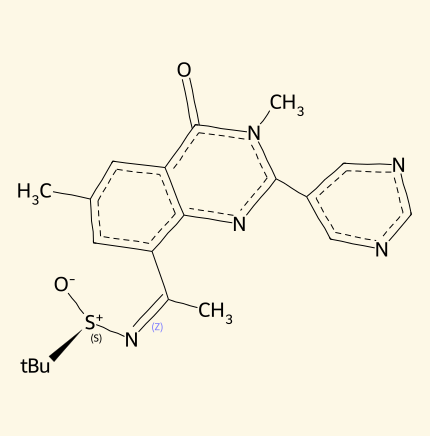 C/C(=N/[S@+]([O-])C(C)(C)C)c1cc(C)cc2c(=O)n(C)c(-c3cncnc3)nc12